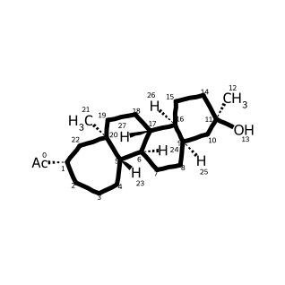 CC(=O)[C@H]1CCC[C@H]2[C@@H]3CC[C@@H]4C[C@](C)(O)CC[C@@H]4[C@H]3CC[C@]2(C)C1